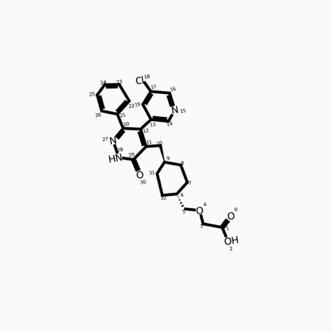 O=C(O)COC[C@H]1CC[C@H](Cc2c(-c3cncc(Cl)c3)c(-c3ccccc3)n[nH]c2=O)CC1